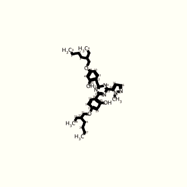 CCCCC(CC)COc1ccc(-c2nc(-c3ccc(OCC(CC)CCCC)cc3O)nc(-c3ccnn3C)n2)c(O)c1